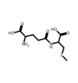 CSCC(NC(=O)CCC(N)C(=O)O)C(=O)O